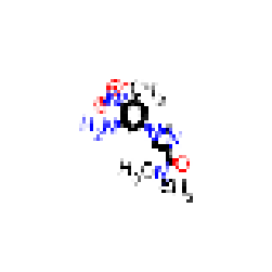 Cc1cc(-n2cnc(C(=O)N(C)C)c2)cc(N)c1[N+](=O)[O-]